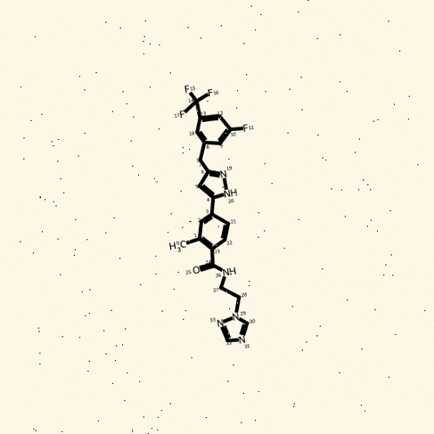 Cc1cc(-c2cc(Cc3cc(F)cc(C(F)(F)F)c3)n[nH]2)ccc1C(=O)NCCn1cncn1